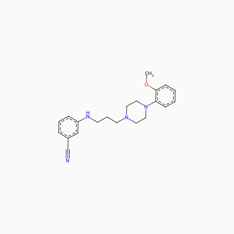 COc1ccccc1N1CCN(CCCNc2cccc(C#N)c2)CC1